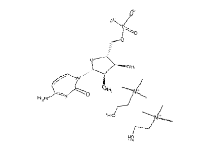 C[N+](C)(C)CCO.C[N+](C)(C)CCO.Nc1ccn([C@@H]2O[C@H](COP(=O)([O-])[O-])[C@@H](O)[C@H]2O)c(=O)n1